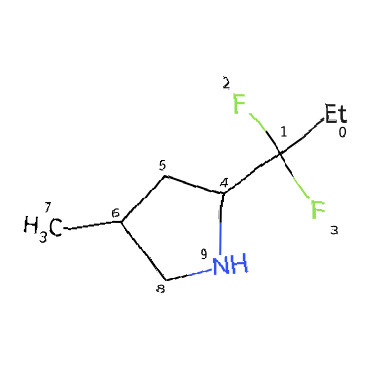 CCC(F)(F)C1CC(C)CN1